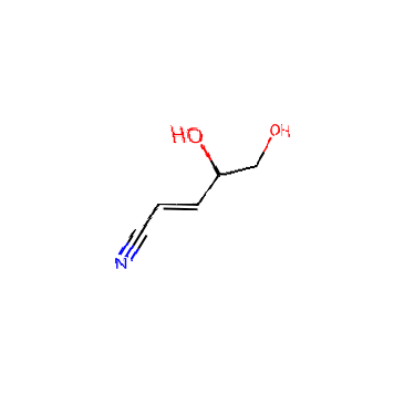 N#CC=CC(O)CO